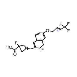 C[C@H]1Cc2cc(OC/C=C/C(F)(F)F)ccc2C=C1CN1CC(F)(C(=O)O)C1